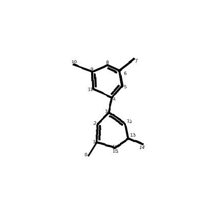 CC1=CC(c2cc(C)cc(C)c2)=CC(C)[C]1